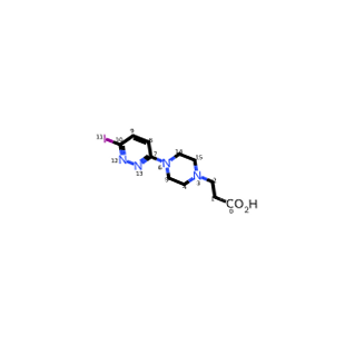 O=C(O)CCN1CCN(c2ccc(I)nn2)CC1